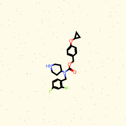 O=C(OCc1ccc(OC2CC2)cc1)N(Cc1ccc(F)cc1F)C1CCNCC1